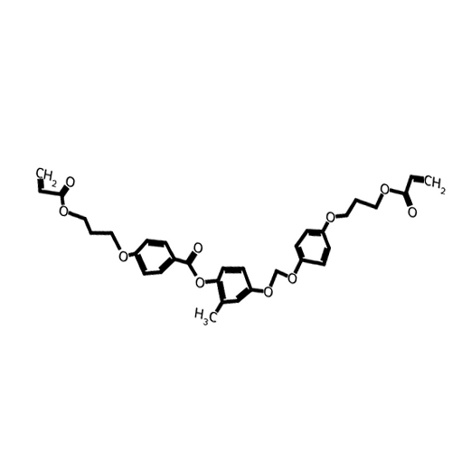 C=CC(=O)OCCCOc1ccc(OCOc2ccc(OC(=O)c3ccc(OCCCOC(=O)C=C)cc3)c(C)c2)cc1